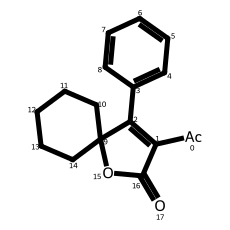 CC(=O)C1=C(c2ccccc2)C2(CCCCC2)OC1=O